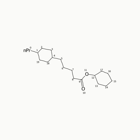 CCCC1CCC(CCCCC(=O)OC2CCCCC2)CC1